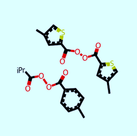 Cc1ccc(C(=O)OOC(=O)C(C)C)cc1.Cc1csc(C(=O)OOC(=O)c2cc(C)cs2)c1